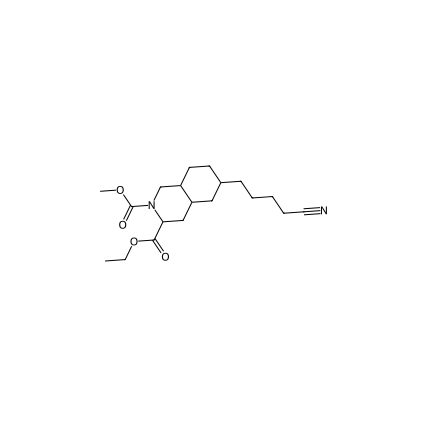 CCOC(=O)C1CC2CC(CCCCC#N)CCC2CN1C(=O)OC